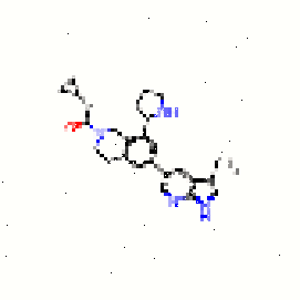 Cc1c[nH]c2ncc(-c3cc4c(c(C5CCCN5)c3)CN(C(=O)CC3CC3)CC4)cc12